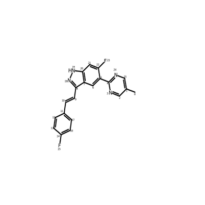 Cc1cnc(-c2cc3c(/C=C/c4ccc(F)cc4)n[nH]c3cc2F)nc1